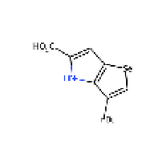 CCCCc1c[se]c2cc(C(=O)O)[nH]c12